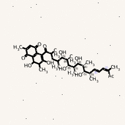 CC(=O)/C(C)=C\C=C\[C@H](C)[C@H](O)[C@@H](C)[C@@H](O)[C@@H](C)[C@H](O)[C@H](C)[C@@H](O)C(C)CC(C)C(=O)C1=C(O)C(C)C(O)C2=C1C(=O)C=C(C)C2=O